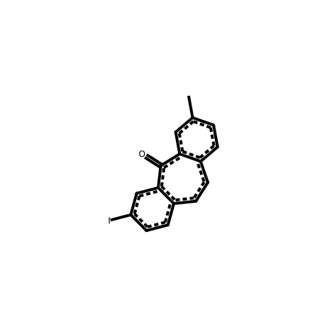 Cc1ccc2ccc3ccc(I)cc3c(=O)c2c1